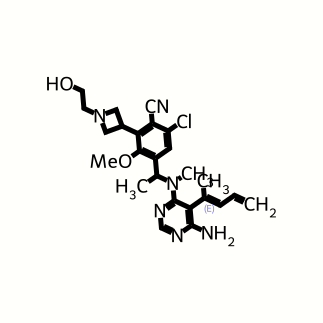 C=C/C=C(\C)c1c(N)ncnc1N(C)C(C)c1cc(Cl)c(C#N)c(C2CN(CCO)C2)c1OC